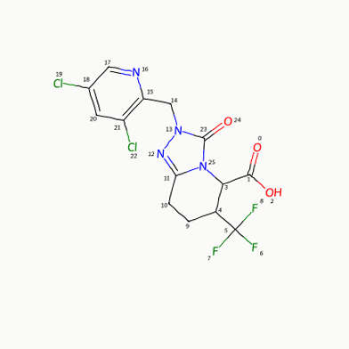 O=C(O)C1C(C(F)(F)F)CCc2nn(Cc3ncc(Cl)cc3Cl)c(=O)n21